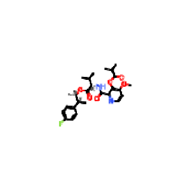 COc1ccnc(C(=O)N[C@H](C(=O)O[C@@H](C)[C@@H](C)c2ccc(F)cc2)C(C)C)c1OC(=O)C(C)C